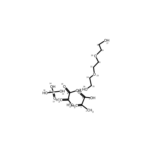 C=C(C)C(=O)O.C=C(C)C(=O)O.O=P(O)(O)O.OCCOCCOCCO